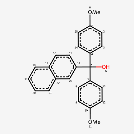 COc1ccc(C(O)(c2ccc(OC)cc2)c2ccc3ccccc3c2)cc1